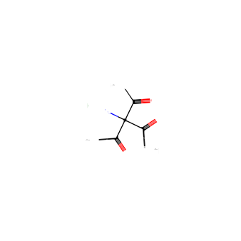 CCCCCCCC(=O)C(N)(C(=O)CCCCCCC)C(=O)CCCCCCC.Cl